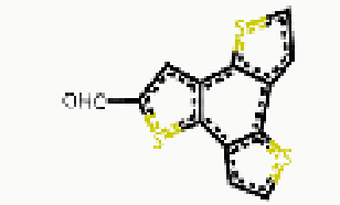 O=Cc1cc2c3sccc3c3sccc3c2s1